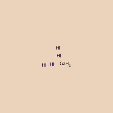 I.I.I.I.[GaH3]